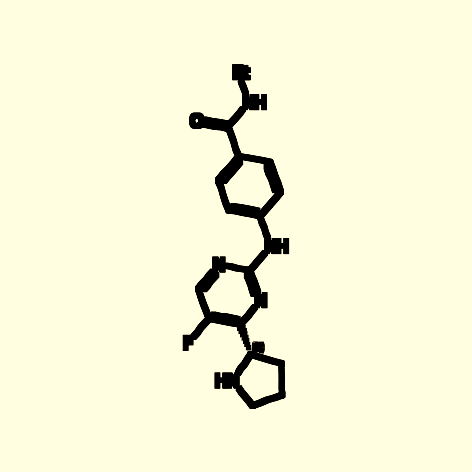 CCNC(=O)c1ccc(Nc2ncc(F)c([C@@H]3CCCN3)n2)cc1